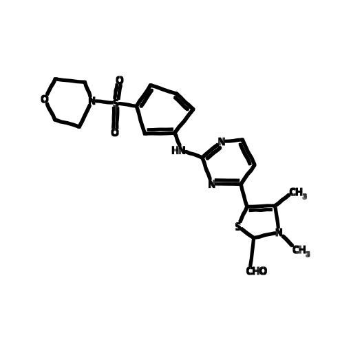 CC1=C(c2ccnc(Nc3cccc(S(=O)(=O)N4CCOCC4)c3)n2)SC(C=O)N1C